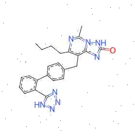 CCCCc1nc(C)n2[nH]c(=O)nc2c1Cc1ccc(-c2ccccc2-c2nnn[nH]2)cc1